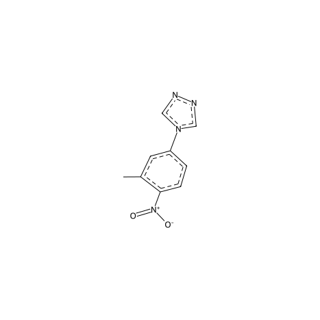 Cc1cc(-n2cnnc2)ccc1[N+](=O)[O-]